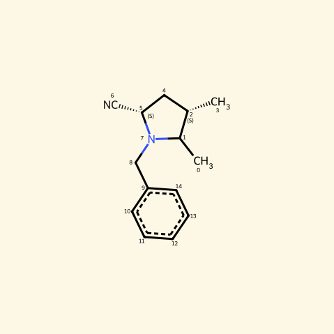 CC1[C@@H](C)C[C@@H](C#N)N1Cc1ccccc1